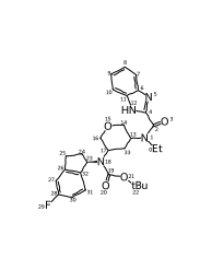 CCN(C(=O)c1nc2ccccc2[nH]1)C1COCC(N(C(=O)OC(C)(C)C)[C@@H]2CCc3cc(F)ccc32)C1